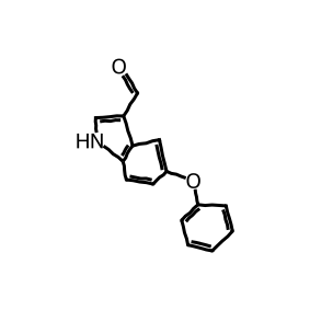 O=Cc1c[nH]c2ccc(Oc3ccccc3)cc12